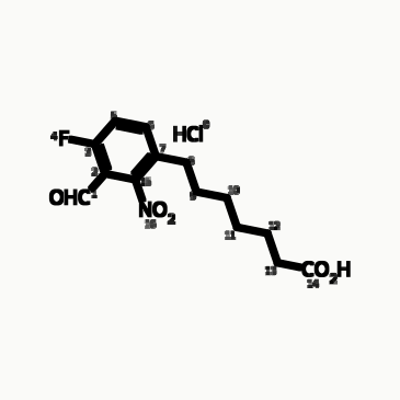 Cl.O=Cc1c(F)ccc(CCCCCCC(=O)O)c1[N+](=O)[O-]